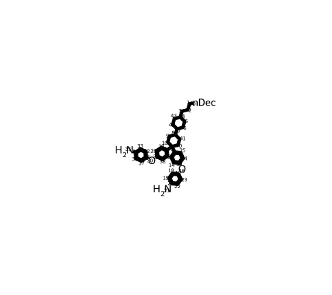 CCCCCCCCCCCCCC1CCC(C2CCC(c3ccc(Oc4ccc(N)cc4)cc3)(c3ccc(Oc4ccc(N)cc4)cc3)CC2)CC1